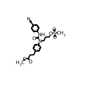 COC(=O)CCc1ccc(N(CCCOS(C)(=O)=O)C(=O)Nc2ccc(C#N)cc2)cc1